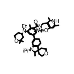 CCN(c1cc(C2=CC3=C(CC2)C2(CCOCC2)C(C)N3C(C)C)cc(C(=O)NCC2=C(OC)C=C(C)NC2C)c1C)C1CCOC(C)(C)C1